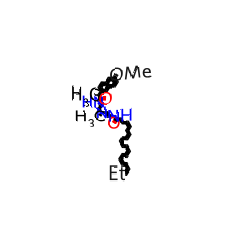 CC/C=C\C/C=C\C/C=C\C/C=C\C/C=C\C/C=C\CCC(=O)NCCN(C)CCNC(=O)[C@@H](C)c1ccc2cc(OC)ccc2c1